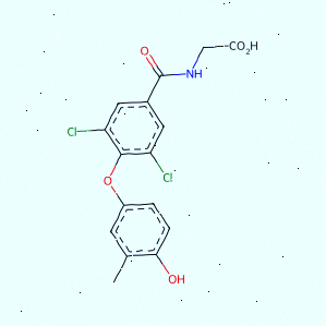 Cc1cc(Oc2c(Cl)cc(C(=O)NCC(=O)O)cc2Cl)ccc1O